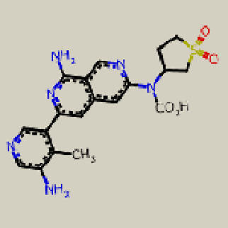 Cc1c(N)cncc1-c1cc2cc(N(C(=O)O)C3CCS(=O)(=O)C3)ncc2c(N)n1